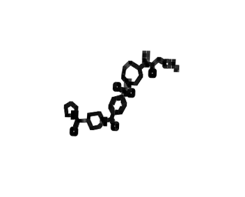 C=CC(=O)NC1CCCN(S(=O)(=O)c2ccc(C(=O)N3CCC(C(=O)N4CCCC4)CC3)cc2)CC1